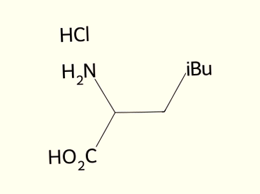 CCC(C)CC(N)C(=O)O.Cl